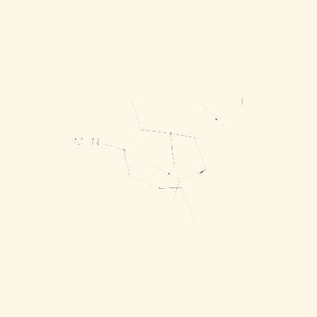 [2H]C(C)(C)C1C2C(C)C3CC1(C)C(C)C(NC)(C3)C2C